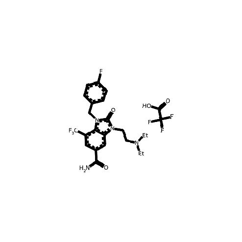 CCN(CC)CCn1c(=O)n(Cc2ccc(F)cc2)c2c(C(F)(F)F)cc(C(N)=O)cc21.O=C(O)C(F)(F)F